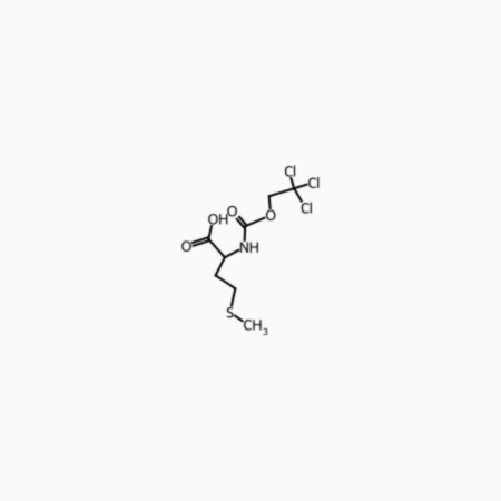 CSCCC(NC(=O)OCC(Cl)(Cl)Cl)C(=O)O